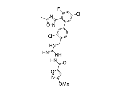 COc1cc(C(=O)NNC(=N)NCc2ccc(-c3cc(Cl)cc(F)c3-c3noc(C)n3)cc2Cl)on1